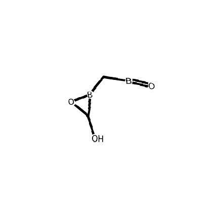 O=BCB1OC1O